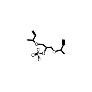 C#CC(C)OCC(COC(C)C=C)OP(=O)(Cl)Cl